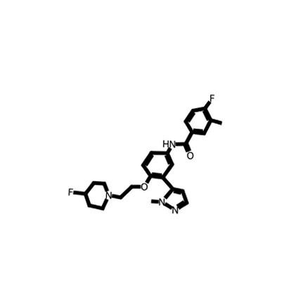 Cc1cc(C(=O)Nc2ccc(OCCN3CCC(F)CC3)c(-c3ccnn3C)c2)ccc1F